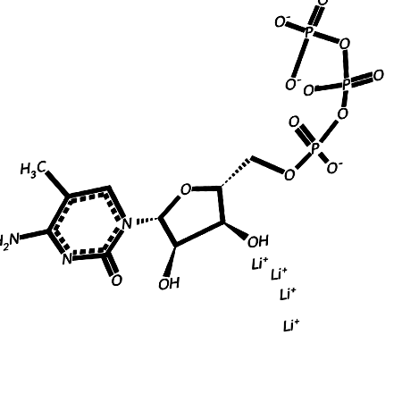 Cc1cn([C@@H]2O[C@H](COP(=O)([O-])OP(=O)([O-])OP(=O)([O-])[O-])[C@@H](O)[C@H]2O)c(=O)nc1N.[Li+].[Li+].[Li+].[Li+]